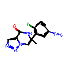 CC1(c2cc(N)ccc2F)Cn2nncc2C(=O)N1